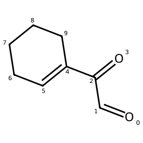 O=CC(=O)C1=CCCCC1